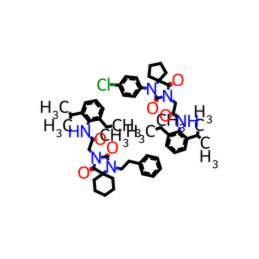 CC(C)c1cccc(C(C)C)c1NC(=O)CN1C(=O)N(CCc2ccccc2)C2(CCCCC2)C1=O.CC(C)c1cccc(C(C)C)c1NC(=O)CN1C(=O)N(c2ccc(Cl)cc2)C2(CCCC2)C1=O